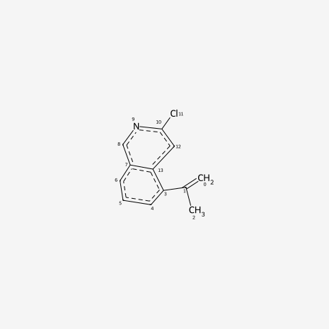 C=C(C)c1cccc2cnc(Cl)cc12